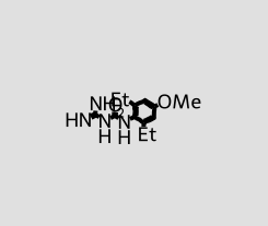 CCc1cc(OC)cc(CC)c1NC(=O)NC(=N)N